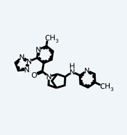 Cc1ccc(NC2CC3CC2N(C(=O)c2ccc(C)nc2-n2nccn2)C3)nc1